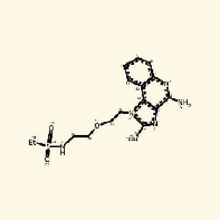 CCCCc1nc2c(N)nc3ccccc3c2n1CCOCCNS(=O)(=O)CC